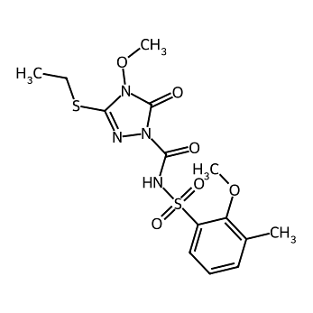 CCSc1nn(C(=O)NS(=O)(=O)c2cccc(C)c2OC)c(=O)n1OC